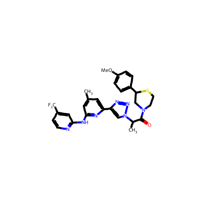 COc1ccc(C2CN(C(=O)C(C)n3cc(-c4cc(C)cc(Nc5cc(C(F)(F)F)ccn5)n4)nn3)CCS2)cc1